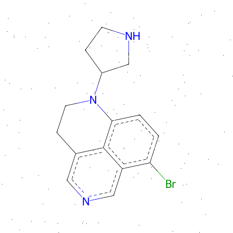 Brc1ccc2c3c(cncc13)CCN2C1CCNC1